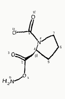 NOC(=O)[C@@H]1CCCN1C(=O)Cl